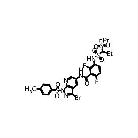 CCCS(=O)(=O)C(CC)S(=O)(=O)Nc1ccc(F)c(C(=O)Nc2cnc3c(c2)c(Br)nn3S(=O)(=O)c2ccc(C)cc2)c1F